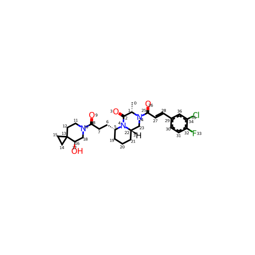 C[C@H]1C(=O)N2[C@@H](CCC(=O)N3CCC4(CC4)[C@H](O)C3)CCC[C@H]2CN1C(=O)/C=C/c1ccc(F)c(Cl)c1